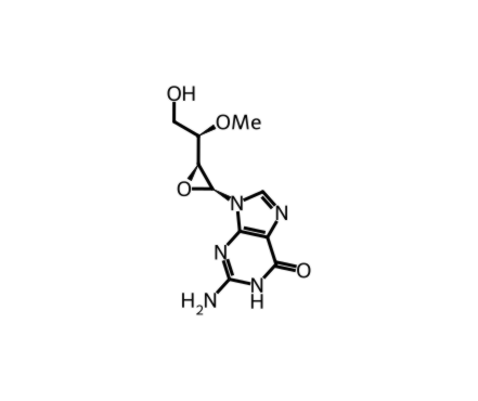 CO[C@H](CO)[C@@H]1O[C@@H]1n1cnc2c(=O)[nH]c(N)nc21